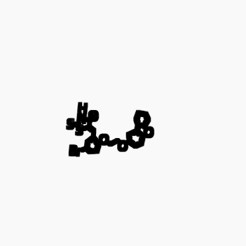 O=C1NC(=S)SC1=Cc1cc(Br)ccc1OCCOc1ccc2oc3ccccc3c2c1